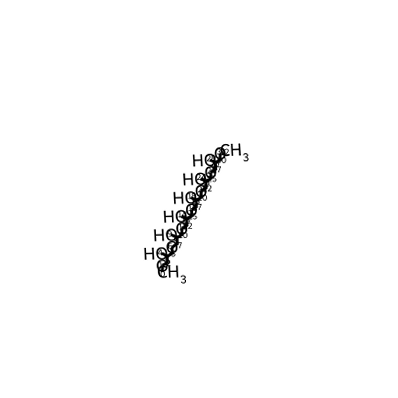 COCC(O)COCC(O)COCC(O)COCC(O)COCC(O)COCC(O)COC